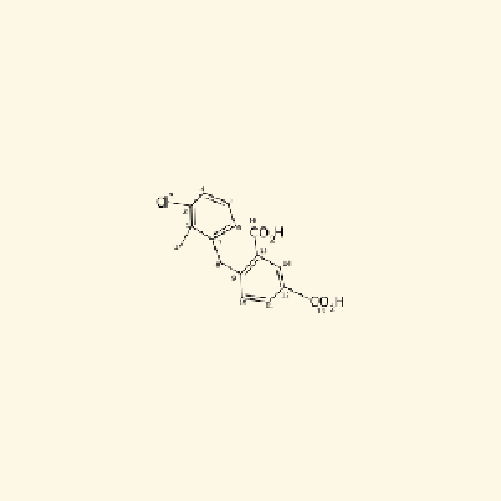 Cc1c(Cl)cccc1Cc1ccc(C(=O)O)cc1C(=O)O